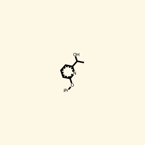 CC(C)Oc1cccc(C(C)O)n1